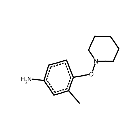 Cc1cc(N)ccc1ON1CCCCC1